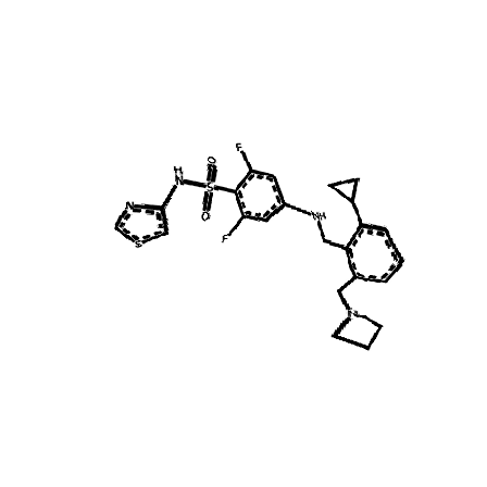 O=S(=O)(Nc1cscn1)c1c(F)cc(NCc2c(CN3CCC3)cccc2C2CC2)cc1F